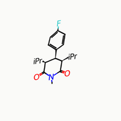 CC(C)[C@H]1C(=O)N(C)C(=O)[C@@H](C(C)C)[C@H]1c1ccc(F)cc1